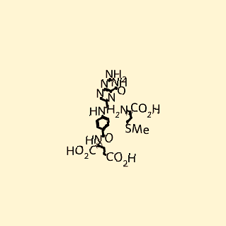 CSCC[C@H](N)C(=O)O.Nc1nc2ncc(CNc3ccc(C(=O)N[C@@H](CCC(=O)O)C(=O)O)cc3)nc2c(=O)[nH]1